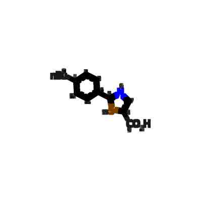 CCCCc1ccc(-c2ncc(C(=O)O)s2)cc1